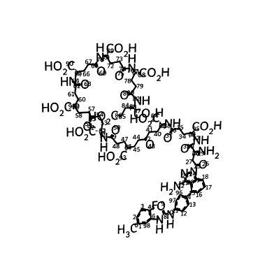 Cc1ccc(F)c(NC(=O)Nc2ccc(-c3cccc4c3c(N)nn4C(=O)C[C@H](N)C(=O)N[C@@H](CCC(=O)N[C@@H](CCC(=O)CC[C@@H](CCC(=O)N[C@@H](CCC(=O)CC[C@@H](CCC(=O)N[C@@H](CCC(=O)N[C@@H](CCC(=O)N[C@@H](CCC(=O)N[C@@H](CCC(=O)O)C(=O)O)C(=O)O)C(=O)O)C(=O)O)C(=O)O)C(=O)O)C(=O)O)C(=O)O)C(=O)O)cc2)c1